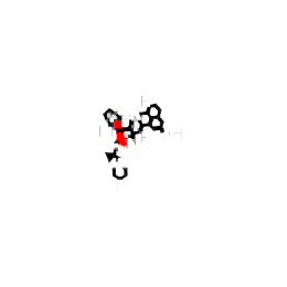 C#Cc1c(F)ccc2cc(O)cc(-c3ncc4c(N5CC6CCC(C5)N6C(=O)NC5(C(F)(F)F)CC5)nc(OCC5(CN6CCC(F)CC6)CC5)nc4c3F)c12